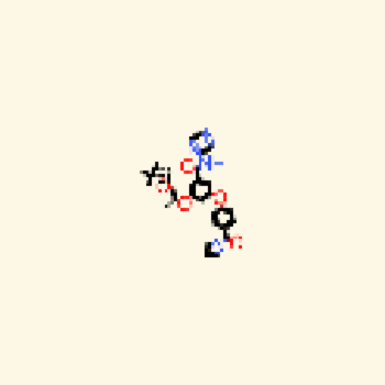 C[C@@H](CO[Si]1(C)CC1(C)C)Oc1cc(Oc2ccc(C(=O)N3CCC3)cc2)cc(C(=O)Nc2cnccn2)c1